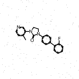 Cc1ccncc1N1CCN(c2ccc(-c3ccccc3F)cc2)C1=O